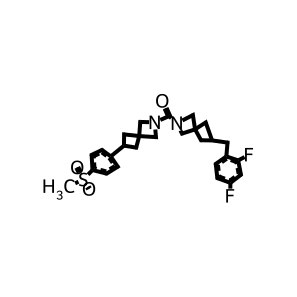 CS(=O)(=O)c1ccc(C2CC3(C2)CN(C(=O)N2CC4(CC(Cc5ccc(F)cc5F)C4)C2)C3)cc1